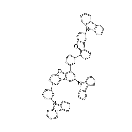 c1cc(-c2cccc3c2oc2ccc(-n4c5ccccc5c5ccccc54)cc23)cc(-c2cc(-n3c4ccccc4c4ccccc43)cc3c2oc2ccc(-c4cccc(-n5c6ccccc6c6ccccc65)c4)cc23)c1